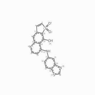 O=S1(=O)C=Cc2cc3nccc(Nc4ccc5scnc5c4)c3c(O)c21